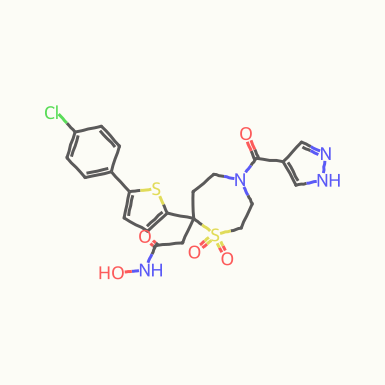 O=C(CC1(c2ccc(-c3ccc(Cl)cc3)s2)CCN(C(=O)c2cn[nH]c2)CCS1(=O)=O)NO